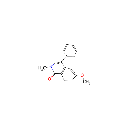 COc1ccc2c(=O)n(C)cc(-c3ccccc3)c2c1